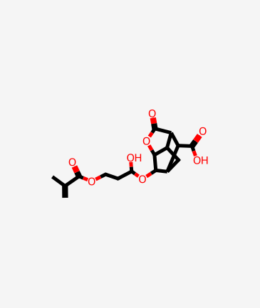 C=C(C)C(=O)OCCC(O)OC1C2CC3C1OC(=O)C3C2C(=O)O